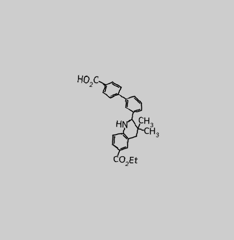 CCOC(=O)c1ccc2c(c1)CC(C)(C)C(c1cccc(-c3ccc(C(=O)O)cc3)c1)N2